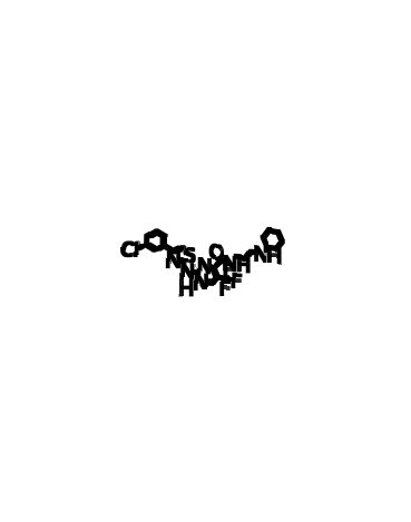 O=C(NCCCNC1CCCCC1)c1nc(Nc2nc(-c3cccc(Cl)c3)cs2)ncc1C(F)(F)F